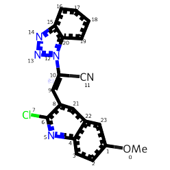 COc1ccc2nc(Cl)c(/C=C(\C#N)n3nnc4ccccc43)cc2c1